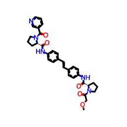 COCC(=O)N1CCC[C@H]1C(=O)Nc1ccc(/C=C/c2ccc(NC(=O)[C@@H]3CCCN3C(=O)c3cccnc3)cc2)cc1